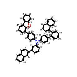 c1cc(-c2ccc3ccccc3c2)cc(N(c2ccc(-c3ccccc3-c3cccc4ccccc34)cc2)c2ccc(-c3cccc4c3oc3ccccc34)cc2)c1